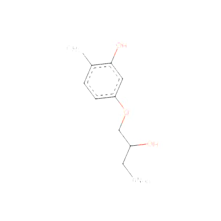 CCCCCCCCCCC(O)COc1ccc(C=O)c(O)c1